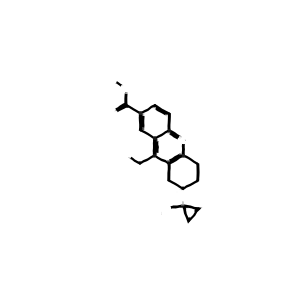 COC(=O)c1ccc2nc3c(c(CO)c2c1)C[C@@H](C1(C)CC1)CC3